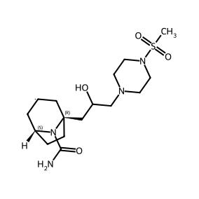 CS(=O)(=O)N1CCN(CC(O)C[C@@]23C[CH]C[C@@H](CC2)N3C(N)=O)CC1